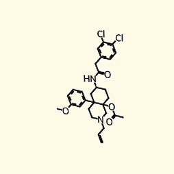 C=CCN1CCC2(c3cccc(OC)c3)C[C@@H](NC(=O)Cc3ccc(Cl)c(Cl)c3)CCC2(OC(C)=O)C1